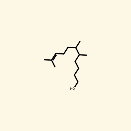 CC(C)=CCCC(C)C(C)CCCCO